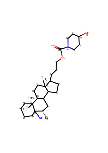 CC[C@H]1CC2C3CCC(CCCOC(=O)N4CCC(O)CC4)C3(C)CC[C@@H]2C2(C)CCCCC12N